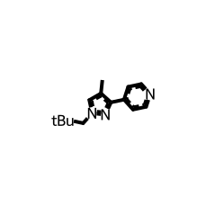 Cc1cn(CC(C)(C)C)nc1-c1ccncc1